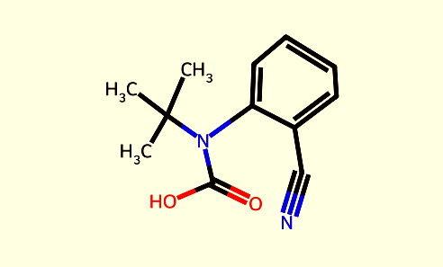 CC(C)(C)N(C(=O)O)c1ccccc1C#N